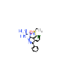 C[S+]([O-])c1cccc2c(-c3ccccc3)nnc(NC(=N)N)c12.Cl